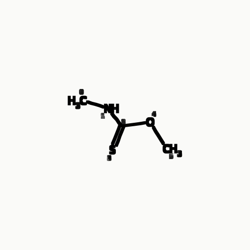 CNC(=S)OC